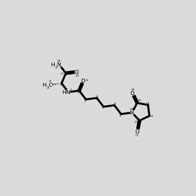 C[C@@H](NC(=O)CCCCCN1C(=O)CCC1=O)C(N)=O